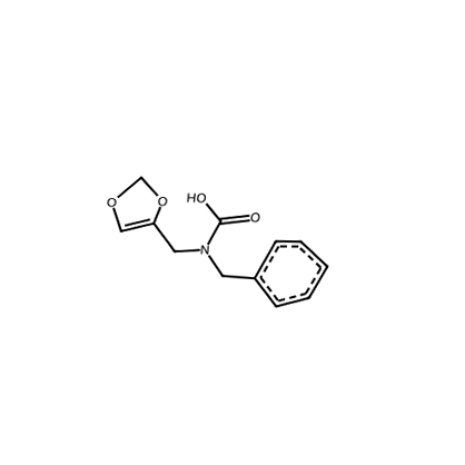 O=C(O)N(CC1=COCO1)Cc1ccccc1